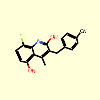 Cc1c(Cc2ccc(C#N)cc2)c(O)nc2c(F)ccc(O)c12